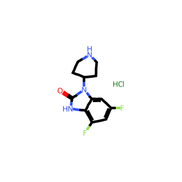 Cl.O=c1[nH]c2c(F)cc(F)cc2n1C1CCNCC1